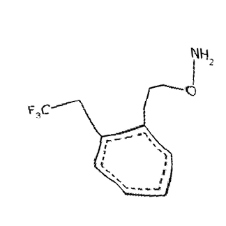 NOCc1ccccc1CC(F)(F)F